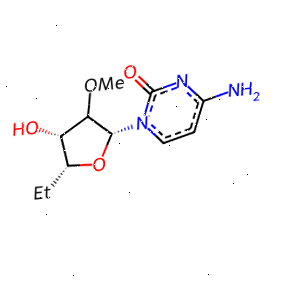 CC[C@H]1O[C@@H](n2ccc(N)nc2=O)C(OC)[C@H]1O